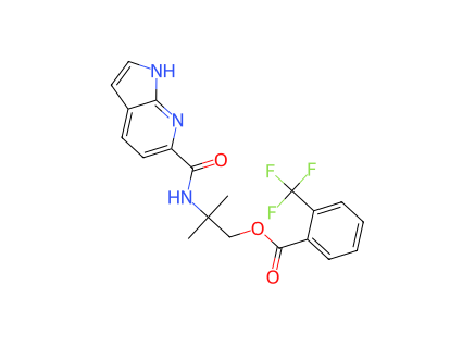 CC(C)(COC(=O)c1ccccc1C(F)(F)F)NC(=O)c1ccc2cc[nH]c2n1